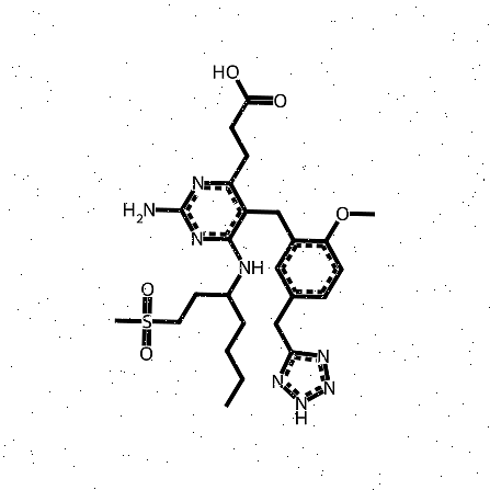 CCCCC(CCS(C)(=O)=O)Nc1nc(N)nc(CCC(=O)O)c1Cc1cc(Cc2nn[nH]n2)ccc1OC